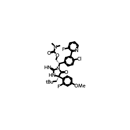 COc1ccc([C@@]2(CC(C)(C)C)NC(=N)N([C@H](COC(=O)N(C)C)c3ccc(Cl)c(-c4ncccc4F)c3)C2=O)c(F)c1